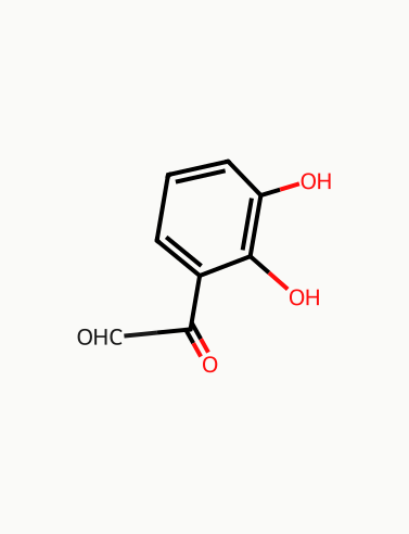 O=CC(=O)c1cccc(O)c1O